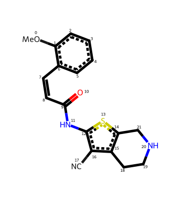 COc1ccccc1/C=C\C(=O)Nc1sc2c(c1C#N)CCNC2